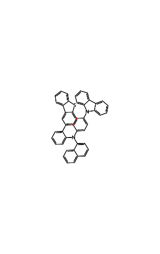 c1ccc(N(c2ccc(-n3c4ccccc4c4ccccc43)cc2)c2cccc3ccccc23)c(-c2ccc3sc4ccccc4c3c2)c1